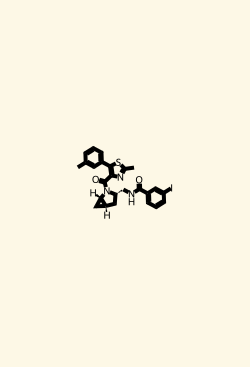 Cc1cccc(-c2sc(C)nc2C(=O)N2[C@H](CNC(=O)c3cccc(I)c3)C[C@H]3C[C@@H]32)c1